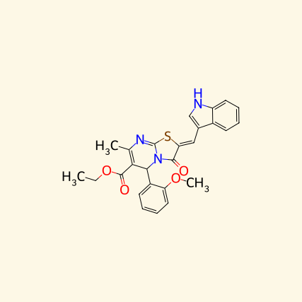 CCOC(=O)C1=C(C)N=c2s/c(=C\c3c[nH]c4ccccc34)c(=O)n2C1c1ccccc1OC